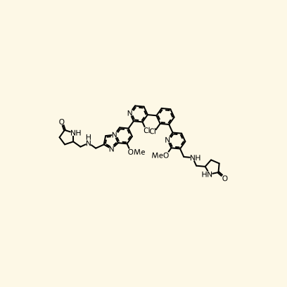 COc1nc(-c2cccc(-c3ccnc(-c4cc(OC)c5nc(CNCC6CCC(=O)N6)cn5c4)c3Cl)c2Cl)ccc1CNCC1CCC(=O)N1